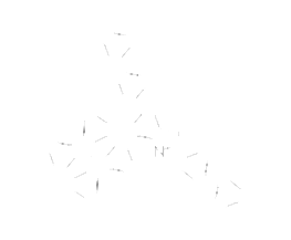 c1ccc(-c2ccc(-c3cc(-c4ccc5c(c4)C4(c6ccccc6-c6ccccc64)c4ccccc4-5)c4nc(-c5ccc(-c6ccccc6)cc5)oc4c3)cc2)cc1